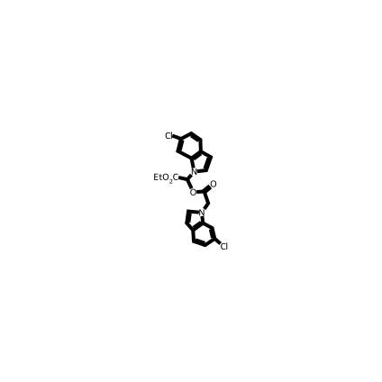 CCOC(=O)C(OC(=O)Cn1ccc2ccc(Cl)cc21)n1ccc2ccc(Cl)cc21